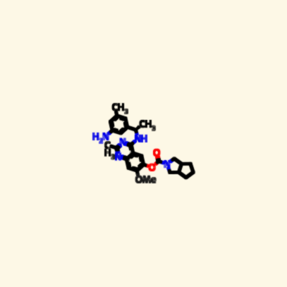 COc1cc2nc(C)nc(N[C@H](C)c3cc(C)cc(N)c3)c2cc1OC(=O)N1CC2CCCC2C1